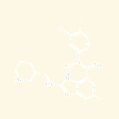 N=C(c1cc(F)c(F)c2nc(NCC3CCCNC3)[nH]c12)N(O)c1ccc(F)c(Cl)c1